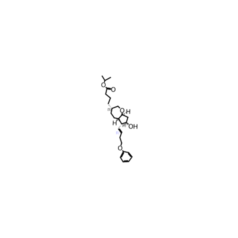 CC(C)OC(=O)CCC[C@H]1CC[C@@H]2[C@@H](/C=C/CCOc3ccccc3)[C@H](O)C[C@@H]2OC1